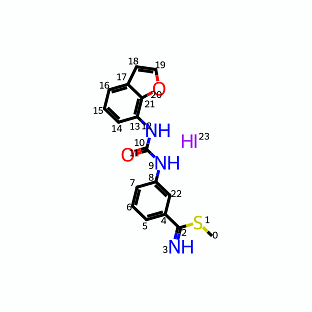 CSC(=N)c1cccc(NC(=O)Nc2cccc3ccoc23)c1.I